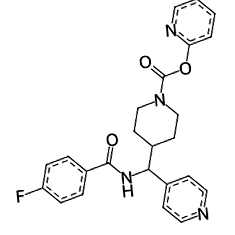 O=C(NC(c1ccncc1)C1CCN(C(=O)Oc2ccccn2)CC1)c1ccc(F)cc1